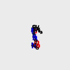 CCC(C)n1ncn(-c2ccc(N3CCN(c4ccc(OCC5COC(Cn6cccn6)(C6CCCCC6)O5)cc4)CC3)cc2)c1=O